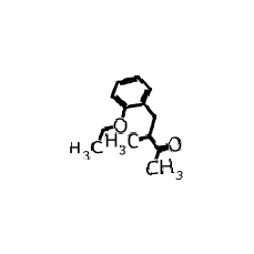 CCOc1ccccc1CC(C)C(C)=O